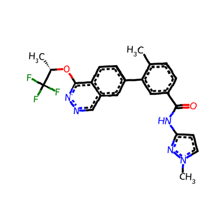 Cc1ccc(C(=O)Nc2ccn(C)n2)cc1-c1ccc2c(O[C@@H](C)C(F)(F)F)nncc2c1